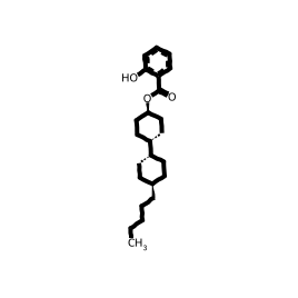 CCCCC[C@H]1CC[C@H]([C@H]2CC[C@H](OC(=O)c3ccccc3O)CC2)CC1